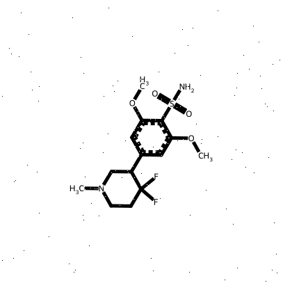 COc1cc(C2CN(C)CCC2(F)F)cc(OC)c1S(N)(=O)=O